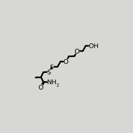 CC(CSSCCOCCOCCO)C(N)=O